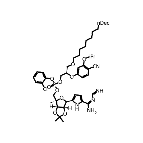 CCCCCCCCCCCCCCCCCCOC[C@H](COP(=O)(OC[C@@]1(C)O[C@@H](c2ccc(/C(N)=N\C=N)[nH]2)[C@@H]2OC(C)(C)O[C@@H]21)Oc1ccccc1Cl)Oc1ccc(C#N)c(OC(C)C)c1